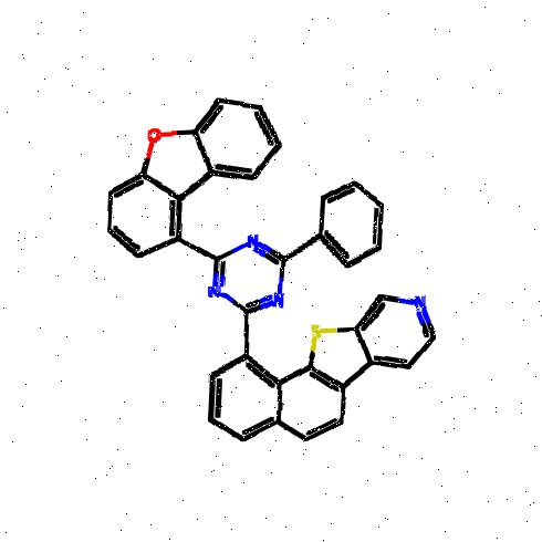 c1ccc(-c2nc(-c3cccc4oc5ccccc5c34)nc(-c3cccc4ccc5c6ccncc6sc5c34)n2)cc1